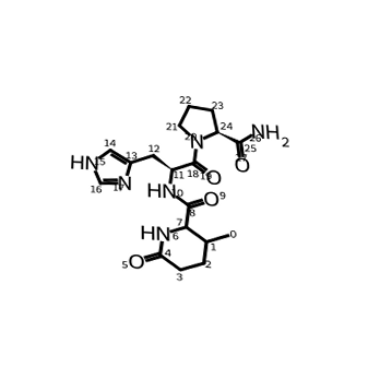 CC1CCC(=O)NC1C(=O)N[C@@H](Cc1c[nH]cn1)C(=O)N1CCC[C@H]1C(N)=O